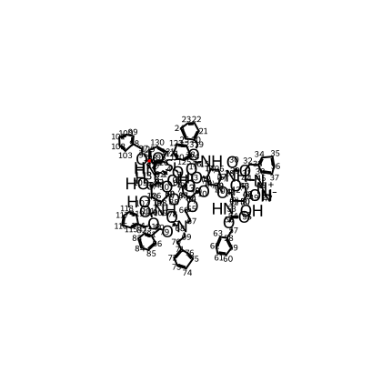 CC(C)(C)[Si](OC[C@H]1O[C@@H](O[C@@H]2[C@@H](O)[C@H](NC(=O)OCc3ccccc3)C[C@H](NC(=O)OCc3ccccc3)[C@H]2O[C@H]2O[C@H](CN=[N+]=[N-])[C@@H](O)[C@H](O)[C@H]2NC(=O)OCc2ccccc2)[C@H](OCCN(CCc2ccccc2)C(=O)OCc2ccccc2)[C@@H]1O[C@H]1O[C@@H](CNC(=O)OCc2ccccc2)[C@@H](O)[C@H](O)[C@H]1NC(=O)OCc1ccccc1)(c1ccccc1)c1ccccc1